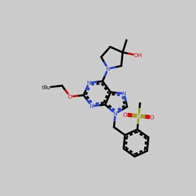 CC(C)(C)COc1nc(N2CCC(C)(O)C2)c2ncn(Cc3ccccc3S(C)(=O)=O)c2n1